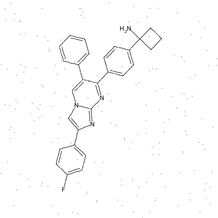 NC1(c2ccc(-c3nc4nc(-c5ccc(F)cc5)cn4cc3-c3ccccc3)cc2)CCC1